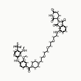 CNc1nc(Nc2ccc(C(=O)N3CCN(CCOCCOCCOCCNc4cccc5c4C(=O)N(C4CCC(=O)NC4=O)C5=O)CC3)cc2OC)ncc1C(F)(F)F